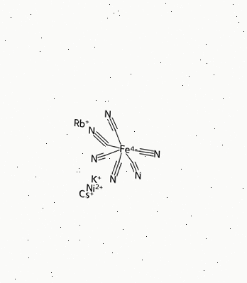 N#[C][Fe-4]([C]#N)([C]#N)([C]#N)([C]#N)[C]#N.[Cs+].[K+].[Ni+2].[Rb+]